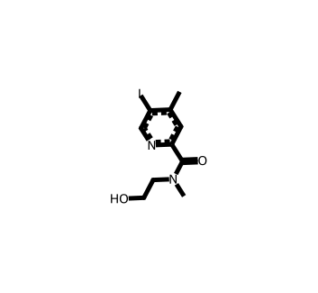 Cc1cc(C(=O)N(C)CCO)ncc1I